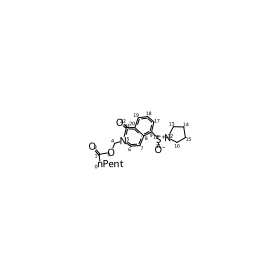 CCCCCC(=O)OCn1ccc2c([S+]([O-])N3CCCC3)cccc2c1=O